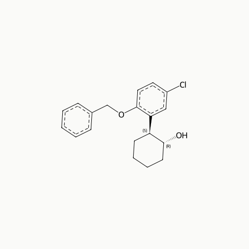 O[C@@H]1CCCC[C@H]1c1cc(Cl)ccc1OCc1ccccc1